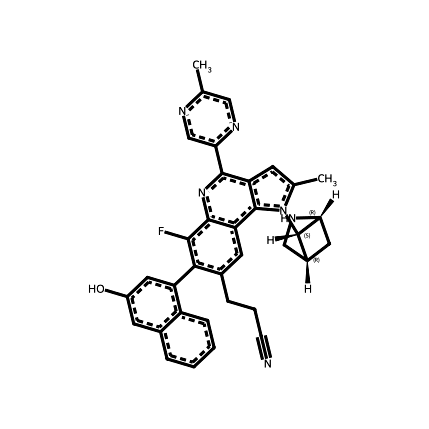 Cc1cnc(-c2nc3c(F)c(-c4cc(O)cc5ccccc45)c(CCC#N)cc3c3c2cc(C)n3[C@H]2[C@H]3CN[C@@H]2C3)cn1